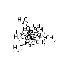 CCCOC[Si]1(C(C)(C)C)O[Si](COCCC)(C(C)(C)C)O[Si](COCCC)(C(C)(C)C)O1